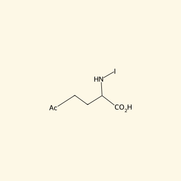 CC(=O)CCC(NI)C(=O)O